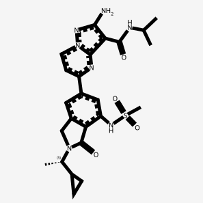 CC(C)NC(=O)c1c(N)nn2ccc(-c3cc4c(c(NS(C)(=O)=O)c3)C(=O)N([C@@H](C)C3CC3)C4)nc12